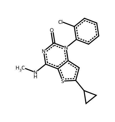 CNc1nc(=O)n(-c2ccccc2Cl)c2cc(C3CC3)sc12